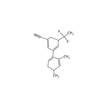 CC1=CC(C)CC=C1C1=CC(C(C)(F)F)CC(C#N)=C1